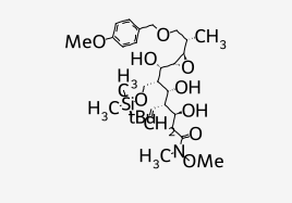 C=C[C@H]([C@@H](O)[C@H](CO[Si](C)(C)C(C)(C)C)[C@H](O)[C@H]1O[C@@H]1[C@@H](C)COCc1ccc(OC)cc1)[C@@H](O)CC(=O)N(C)OC